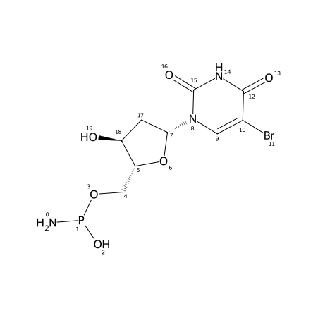 NP(O)OC[C@H]1O[C@@H](n2cc(Br)c(=O)[nH]c2=O)C[C@@H]1O